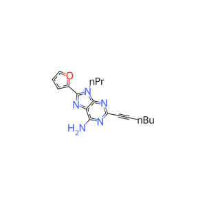 CCCCC#Cc1nc(N)c2nc(-c3ccco3)n(CCC)c2n1